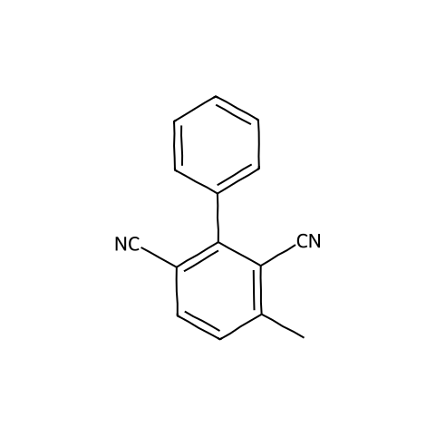 Cc1ccc(C#N)c(-c2ccccc2)c1C#N